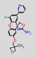 CC1(COc2ccc3c(c2)[C@]2(COC(N)=N2)c2cc(-c4cccnc4)cc(F)c2O3)COC1